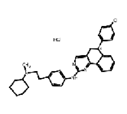 CN(CCc1ccc(Nc2ncc3c(n2)-c2ccccc2[C@H](c2ccc(Cl)cc2)C3)cc1)C1CCCCC1.Cl